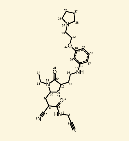 C#CCNC(=O)C(C#N)CC1SC(CCNc2cccc(OCCN3CCCC3)c2)C(=O)N1CC